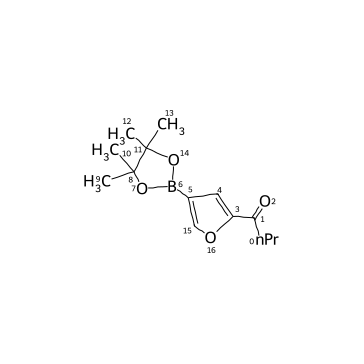 CCCC(=O)c1cc(B2OC(C)(C)C(C)(C)O2)co1